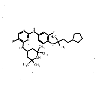 CC1(C)CC(Nc2nc(Nc3ccc(OC(C)(C)CCN4CCCC4)c(F)c3)ncc2F)CC(C)(C)N1